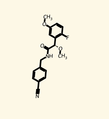 COc1ccc(F)c([C@H](OC)C(=O)NCc2ccc(C#N)cc2)c1